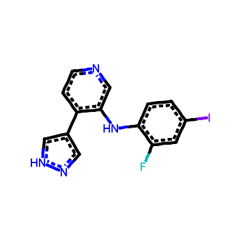 Fc1cc(I)ccc1Nc1cnccc1-c1cn[nH]c1